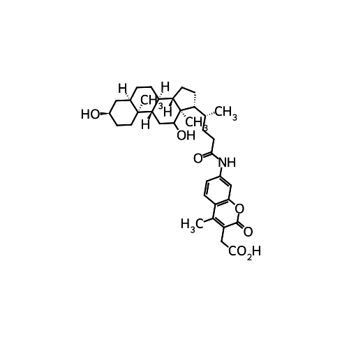 Cc1c(CC(=O)O)c(=O)oc2cc(NC(=O)CC[C@@H](C)[C@H]3CC[C@H]4[C@@H]5CC[C@@H]6C[C@H](O)CC[C@]6(C)[C@H]5CC(O)[C@]34C)ccc12